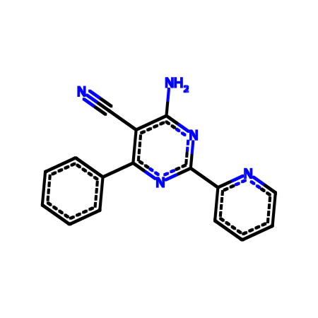 N#Cc1c(N)nc(-c2ccccn2)nc1-c1ccccc1